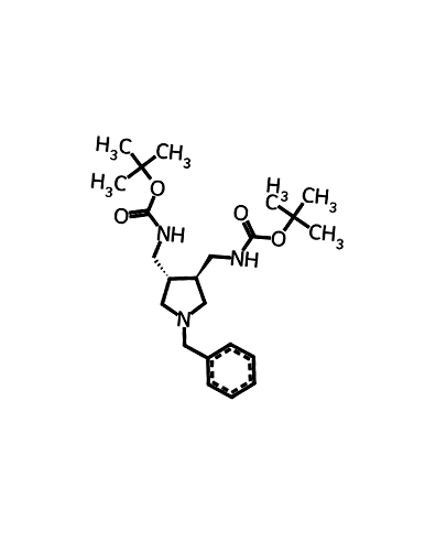 CC(C)(C)OC(=O)NC[C@H]1CN(Cc2ccccc2)C[C@@H]1CNC(=O)OC(C)(C)C